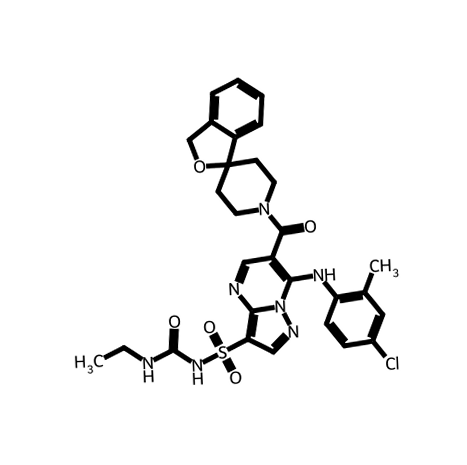 CCNC(=O)NS(=O)(=O)c1cnn2c(Nc3ccc(Cl)cc3C)c(C(=O)N3CCC4(CC3)OCc3ccccc34)cnc12